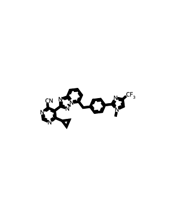 Cn1cc(C(F)(F)F)nc1-c1ccc(Cc2cccc3nc(-c4c(C#N)ncnc4C4CC4)nn23)cc1